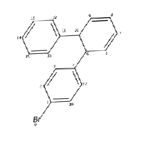 Brc1ccc(C2C=CC=CC2c2ccccc2)cc1